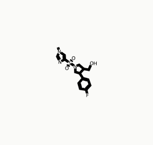 Cn1cnc(S(=O)(=O)N2CC(CO)C(c3ccc(F)cc3)C2)c1